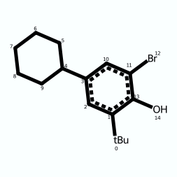 CC(C)(C)c1cc(C2CCCCC2)cc(Br)c1O